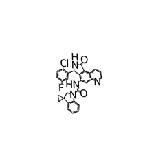 O=C1NC(c2cc(F)ccc2Cl)c2c(NC(=O)N3CC4(CC4)c4ccccc43)cc3ncccc3c21